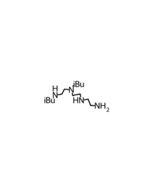 CCC(C)NCCN(CCNCCN)C(C)CC